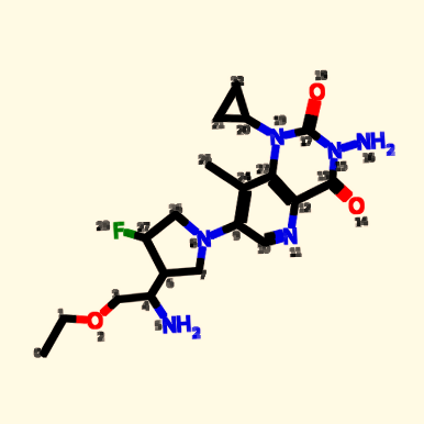 CCOCC(N)C1CN(c2cnc3c(=O)n(N)c(=O)n(C4CC4)c3c2C)CC1F